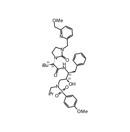 CC[C@H](C)[C@@H](C(=O)N[C@@H](Cc1ccccc1)[C@@H](O)CN(CC(C)C)S(=O)(=O)c1ccc(OC)cc1)N1CCN(Cc2cccc(COC)n2)C1=O